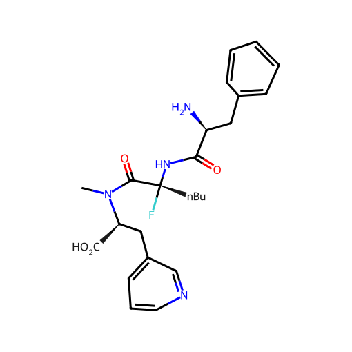 CCCC[C@](F)(NC(=O)[C@@H](N)Cc1ccccc1)C(=O)N(C)[C@@H](Cc1cccnc1)C(=O)O